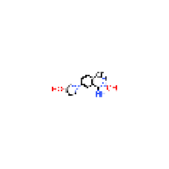 N=C(NO)c1cc(N2CC[C@H](O)C2)ccc1C(F)(F)F